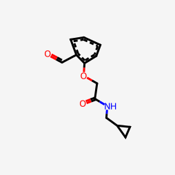 O=Cc1ccccc1OCC(=O)NCC1CC1